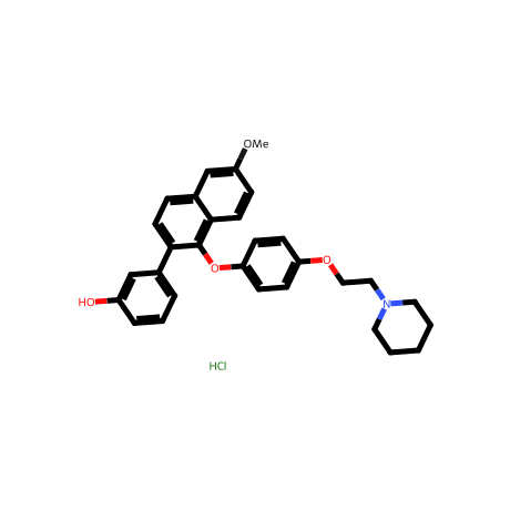 COc1ccc2c(Oc3ccc(OCCN4CCCCC4)cc3)c(-c3cccc(O)c3)ccc2c1.Cl